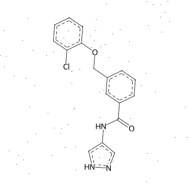 O=C(Nc1cn[nH]c1)c1cccc(COc2ccccc2Cl)c1